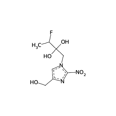 CC(F)C(O)(O)Cn1cc(CO)nc1[N+](=O)[O-]